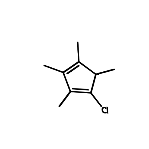 C[C]1C(C)=C(C)C(C)=C1Cl